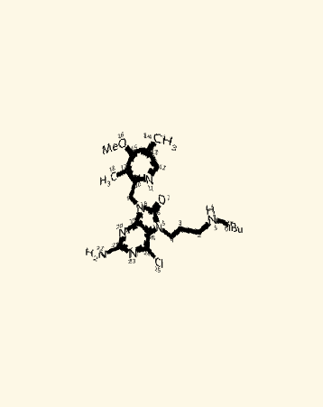 CCC(C)NCCCn1c(=O)n(Cc2ncc(C)c(OC)c2C)c2nc(N)nc(Cl)c21